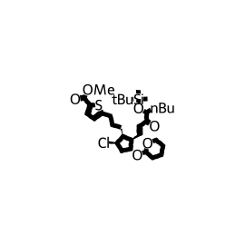 CCCCC(O[Si](C)(C)C(C)(C)C)C(=O)/C=C/[C@@H]1[C@@H](CCCc2ccc(C(=O)OC)s2)[C@H](Cl)C[C@H]1OC1CCCCO1